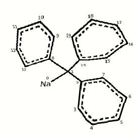 [Na][C](c1ccccc1)(c1ccccc1)c1ccccc1